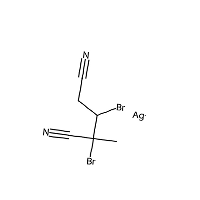 CC(Br)(C#N)C(Br)CC#N.[Ag]